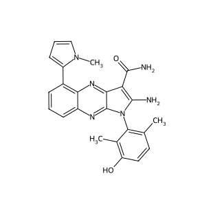 Cc1ccc(O)c(C)c1-n1c(N)c(C(N)=O)c2nc3c(-c4cccn4C)cccc3nc21